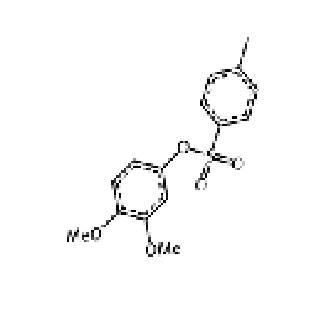 COc1ccc(OS(=O)(=O)c2ccc(C)cc2)cc1OC